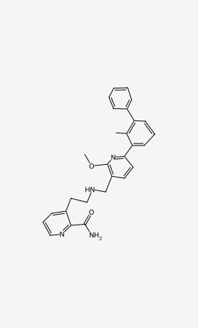 COc1nc(-c2cccc(-c3ccccc3)c2C)ccc1CNCCc1cccnc1C(N)=O